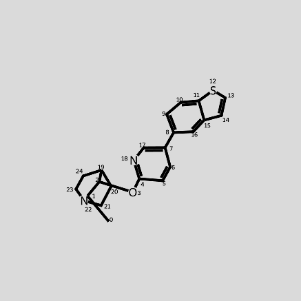 CC1C(Oc2ccc(-c3ccc4sccc4c3)cn2)C2CCN1CC2